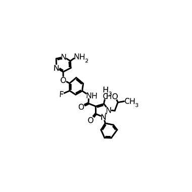 Cc1c(C(=O)Nc2ccc(Oc3cc(N)ncn3)c(F)c2)c(=O)n(-c2ccccc2)n1CC(C)O